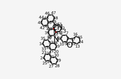 Cc1cc(N(c2ccc3c(c2)oc2ccccc23)c2ccc(-c3cccc4ccccc34)c3ccccc23)ccc1-c1cccc2cccc(-c3ccccc3)c12